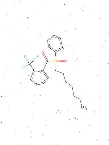 CCCCCCCP(=O)(C(=O)c1ccccc1C(F)(F)F)c1ccccc1